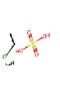 CCCl.O=S(=O)(O)O.[NaH]